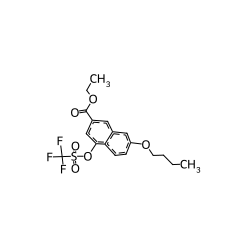 CCCCOc1ccc2c(OS(=O)(=O)C(F)(F)F)cc(C(=O)OCC)cc2c1